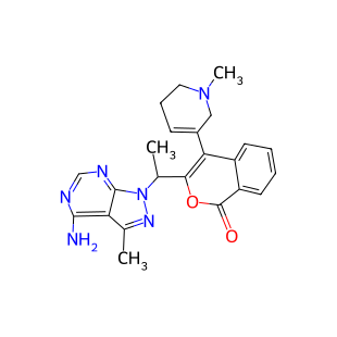 Cc1nn(C(C)c2oc(=O)c3ccccc3c2C2=CCCN(C)C2)c2ncnc(N)c12